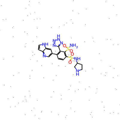 NS(=O)(=O)c1c(S(=O)(=O)NC2CCNC2)ccc(-c2cnc3cc[nH]c3c2)c1-c1nn[nH]n1